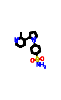 Cc1ncccc1-c1cccn1-c1ccc(S(N)(=O)=O)cc1